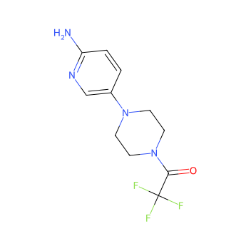 Nc1ccc(N2CCN(C(=O)C(F)(F)F)CC2)cn1